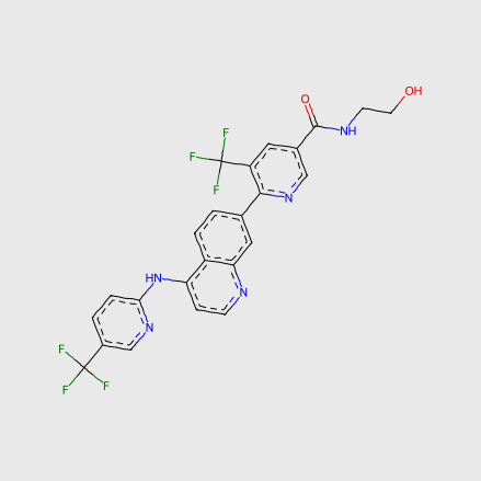 O=C(NCCO)c1cnc(-c2ccc3c(Nc4ccc(C(F)(F)F)cn4)ccnc3c2)c(C(F)(F)F)c1